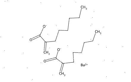 C=C(CCCCCC)C(=O)[O-].C=C(CCCCCC)C(=O)[O-].[Ba+2]